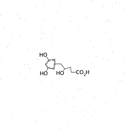 O=C(O)CCC(O)Cc1cc(O)cc(O)c1